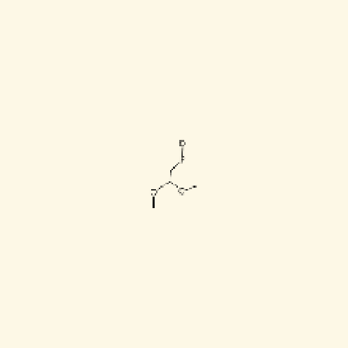 COC(CP=O)OC